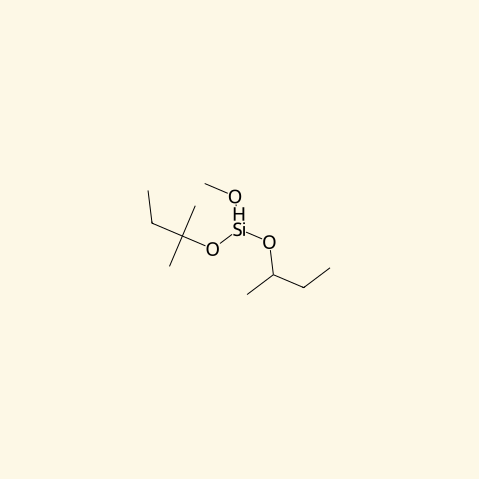 CCC(C)O[SiH](OC)OC(C)(C)CC